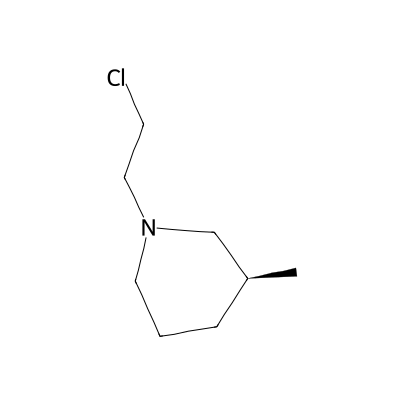 C[C@H]1CCCN(CCCl)C1